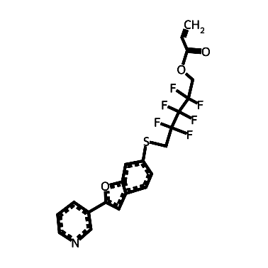 C=CC(=O)OCC(F)(F)C(F)(F)C(F)(F)CSc1ccc2cc(-c3cccnc3)oc2c1